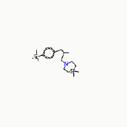 CC(Cc1ccc([Si](C)(C)C)cc1)CN1CC[Si](C)(C)CC1